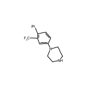 CC(C)c1ccc(N2CCNCC2)cc1C(F)(F)F